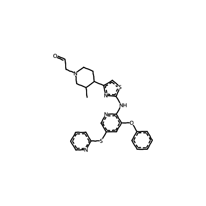 CC1CN(CC=O)CCC1c1csc(Nc2ncc(Sc3ccccn3)cc2Oc2ccccc2)n1